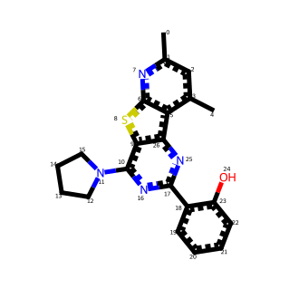 Cc1cc(C)c2c(n1)sc1c(N3CCCC3)nc(-c3ccccc3O)nc12